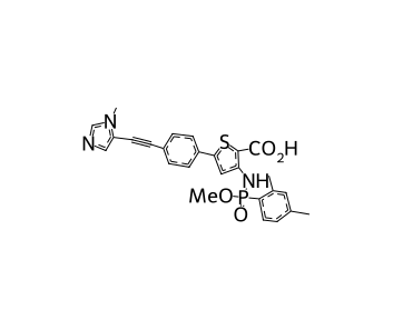 COP(=O)(Nc1cc(-c2ccc(C#Cc3cncn3C)cc2)sc1C(=O)O)c1ccc(C)cc1C